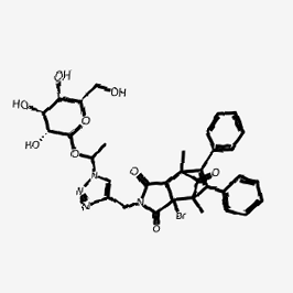 CC(OC1O[C@H](CO)[C@H](O)[C@H](O)[C@H]1O)n1cc(CN2C(=O)C3C4(C)C(=O)C(C)(C(c5ccccc5)=C4c4ccccc4)C3(Br)C2=O)nn1